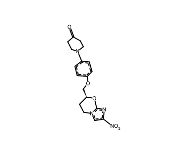 O=C1CCN(c2ccc(OC[C@@H]3CCn4cc([N+](=O)[O-])nc4O3)cc2)CC1